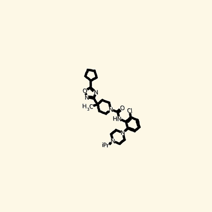 CC(C)N1CCN(c2cccc(Cl)c2NC(=O)N2CCC(C)(c3noc(C4CCCC4)n3)CC2)CC1